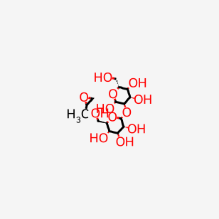 CC1CO1.OC[C@H]1O[C@@H](O[C@@H]2[C@@H](O)[C@H](O)[C@@H](CO)O[C@@H]2O)[C@H](O)[C@@H](O)[C@@H]1O